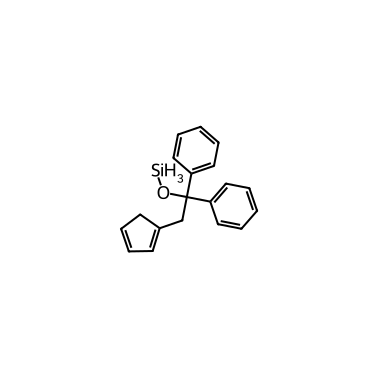 [SiH3]OC(CC1=CC=CC1)(c1ccccc1)c1ccccc1